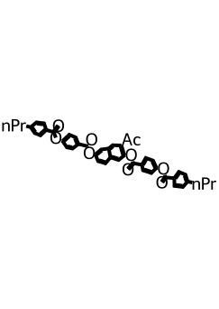 CCCc1ccc(C(=O)Oc2ccc(C(=O)Oc3ccc4cc(OC(=O)c5ccc(OC(=O)c6ccc(CCC)cc6)cc5)c(C(C)=O)cc4c3)cc2)cc1